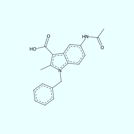 CC(=O)Nc1ccc2c(c1)c(C(=O)O)c(C)n2Cc1ccccc1